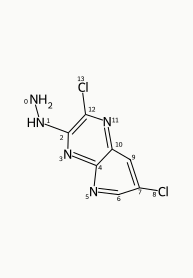 NNc1nc2ncc(Cl)cc2nc1Cl